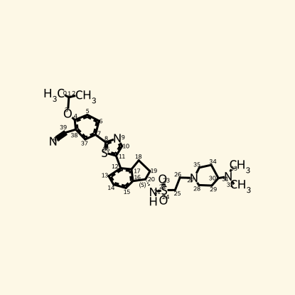 CC(C)Oc1ccc(-c2ncc(-c3cccc4c3CC[C@@H]4NS(=O)(=O)CCN3CCC(N(C)C)CC3)s2)cc1C#N